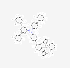 CC1(C)c2ccccc2C2(c3ccccc3-c3c(-c4ccc(N(c5ccc(-c6ccccc6)cc5)c5cc(-c6ccccc6)cc(-c6ccccc6)c5)cc4)cccc32)c2ccccc21